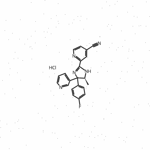 C[C@@H]1NC(c2cc(C#N)ccn2)=NC1(c1ccc(F)cc1)c1cccnc1.Cl